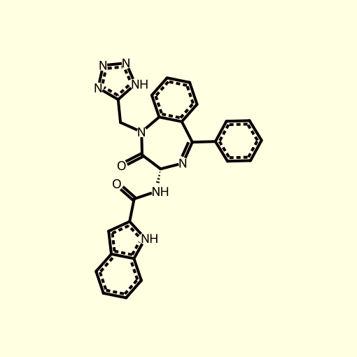 O=C(N[C@H]1N=C(c2ccccc2)c2ccccc2N(Cc2nnn[nH]2)C1=O)c1cc2ccccc2[nH]1